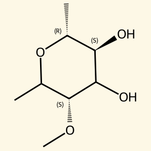 CO[C@@H]1C(C)O[C@H](C)[C@@H](O)C1O